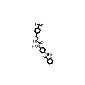 O=C(Nc1ccc(N(S)C(=O)NCCc2ccc(C(F)(F)F)cc2)cc1)c1ccccc1F